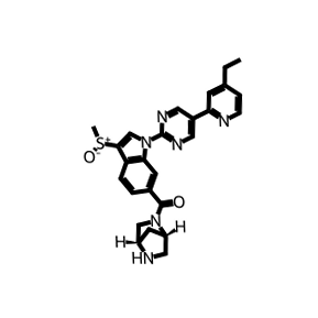 CCc1ccnc(-c2cnc(-n3cc([S+](C)[O-])c4ccc(C(=O)N5C[C@@H]6C[C@H]5CN6)cc43)nc2)c1